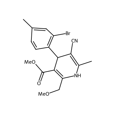 COCC1=C(C(=O)OC)C(c2ccc(C)cc2Br)C(C#N)=C(C)N1